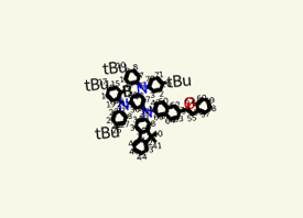 CC(C)(C)c1ccc(N2c3ccc(C(C)(C)C)cc3B3c4cc(C(C)(C)C)ccc4N(c4ccc(C(C)(C)C)cc4)c4cc(N(c5ccc6c(c5)C(C)(C)c5ccccc5-6)c5ccc6cc(-c7cc8ccccc8o7)ccc6c5)cc2c43)cc1